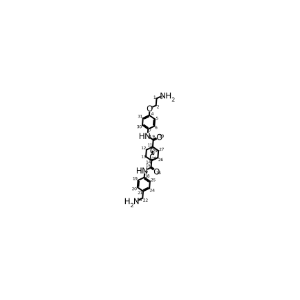 NCCOc1ccc(NC(=O)C23CCC(C(=O)Nc4ccc(CN)cc4)(CC2)CC3)cc1